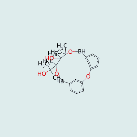 CC(C)(O)C1(C)OBc2cccc(c2)Oc2cccc(c2)BOC(C)(C)C1(C)O